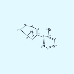 CN1C2C=C(c3ncncc3Br)CC1CC2